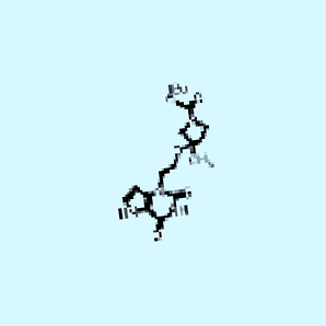 CC(C)(C)OC(=O)N1CCC(C)(OCCn2c(=S)[nH]c(=O)c3[nH]ccc32)C1